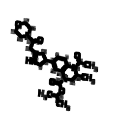 CC(=O)N1c2ccc(C3CNN(CC(=O)N4CCOCC4)C3)cc2N(C(=O)OC(C)C)C[C@@H]1C